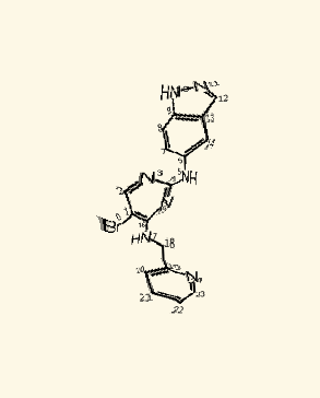 Brc1cnc(Nc2ccc3[nH]ncc3c2)nc1NCc1ccccn1